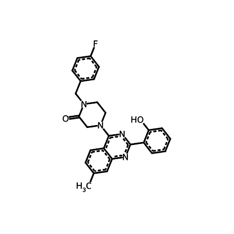 Cc1ccc2c(N3CCN(Cc4ccc(F)cc4)C(=O)C3)nc(-c3ccccc3O)nc2c1